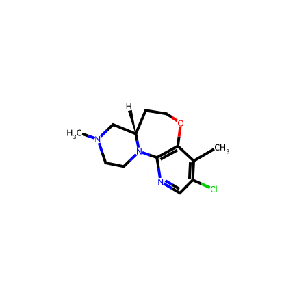 Cc1c(Cl)cnc2c1OCC[C@H]1CN(C)CCN21